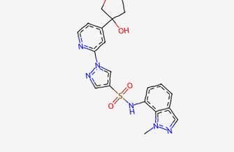 Cn1ncc2cccc(NS(=O)(=O)c3cnn(-c4cc(C5(O)CCOC5)ccn4)c3)c21